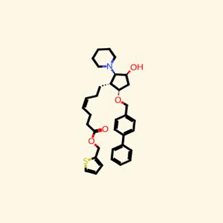 O=C(CC/C=C\CC[C@@H]1[C@@H](N2CCCCC2)[C@@H](O)C[C@@H]1OCc1ccc(-c2ccccc2)cc1)OCc1cccs1